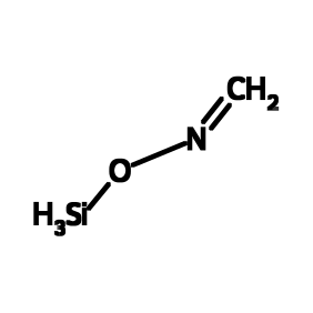 C=NO[SiH3]